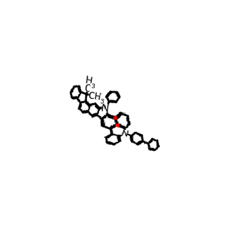 CC1(C)c2ccccc2-c2ccc3cc4c5cc(-c6ccccc6N(c6ccccc6)c6ccc(-c7ccccc7)cc6)ccc5n(-c5ccccc5)c4cc3c21